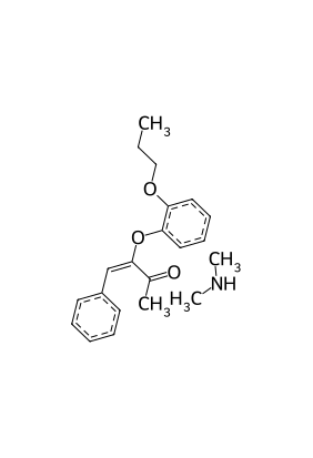 CCCOc1ccccc1OC(=Cc1ccccc1)C(C)=O.CNC